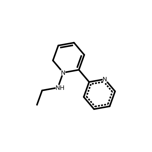 CCNN1CC=CC=C1c1ccccn1